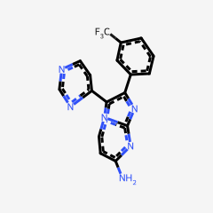 Nc1ccn2c(-c3ccncn3)c(-c3cccc(C(F)(F)F)c3)nc2n1